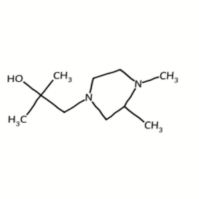 CC1CN(CC(C)(C)O)CCN1C